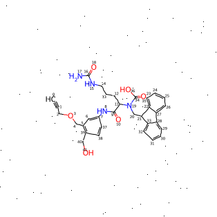 C#CCOCc1cc(NC(=O)C(CCCNC(N)=O)N(CC2c3ccccc3-c3ccccc32)C(=O)O)ccc1CO